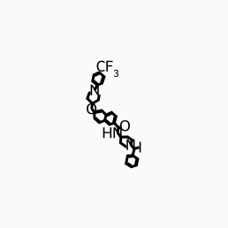 O=C(NC1CCN(C(I)c2ccccc2)CC1)c1ccc2cc(OC3CCN(c4ccc(C(F)(F)F)cc4)CC3)ccc2c1